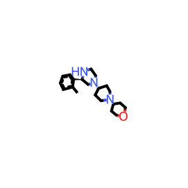 Cc1ccccc1[C@@H]1CN(C2CCN(C3CCOCC3)CC2)CCN1